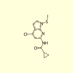 O=C(Nc1cc(Cl)c2ccn(SI)c2n1)C1CC1